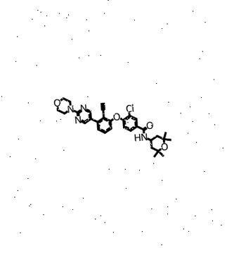 C#Cc1c(Oc2ccc(C(=O)NC3CC(C)(C)OC(C)(C)C3)cc2Cl)cccc1-c1cnc(N2CCOCC2)nc1